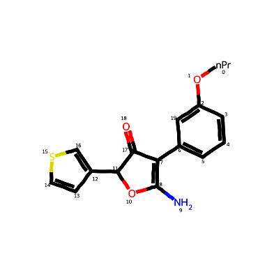 CCCOc1cccc(C2=C(N)OC(c3ccsc3)C2=O)c1